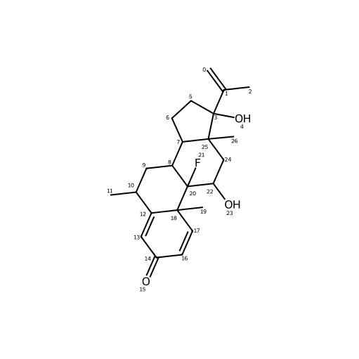 C=C(C)C1(O)CCC2C3CC(C)C4=CC(=O)C=CC4(C)C3(F)C(O)CC21C